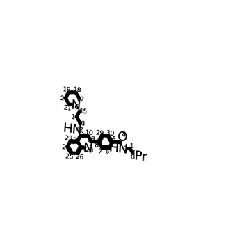 CC(C)CNC(=O)c1ccc(-c2cc(NCCCN3CCCCC3)c3ccccc3n2)cc1